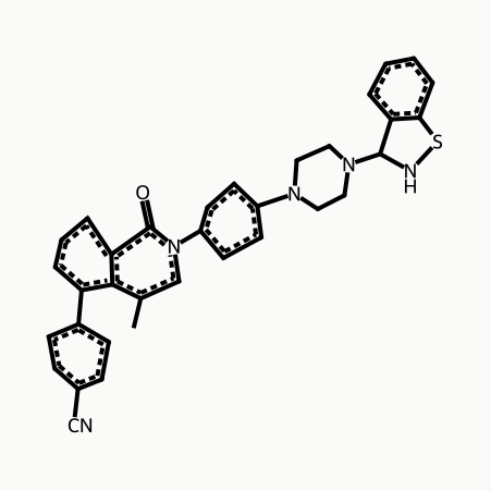 Cc1cn(-c2ccc(N3CCN(C4NSc5ccccc54)CC3)cc2)c(=O)c2cccc(-c3ccc(C#N)cc3)c12